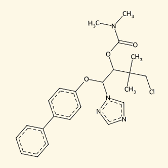 CN(C)C(=O)OC(C(Oc1ccc(-c2ccccc2)cc1)n1cncn1)C(C)(C)CCl